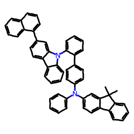 CC1(C)c2ccccc2-c2ccc(N(c3ccccc3)c3ccc(-c4ccccc4-n4c5ccccc5c5ccc(-c6cccc7ccccc67)cc54)cc3)cc21